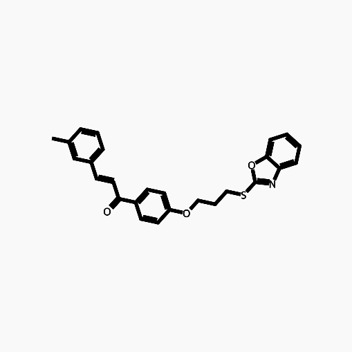 Cc1cccc(/C=C/C(=O)c2ccc(OCCCSc3nc4ccccc4o3)cc2)c1